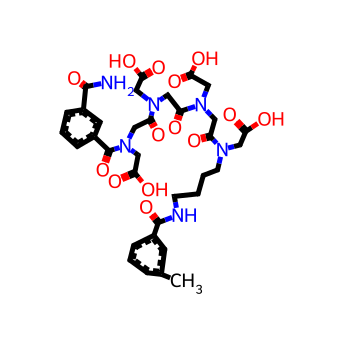 Cc1cccc(C(=O)NCCCCN(CC(=O)O)C(=O)CN(CC(=O)O)C(=O)CN(CC(=O)O)C(=O)CN(CC(=O)O)C(=O)c2cccc(C(N)=O)c2)c1